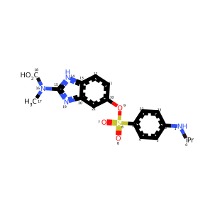 CC(C)Nc1ccc(S(=O)(=O)Oc2ccc3[nH]c(N(C)C(=O)O)nc3c2)cc1